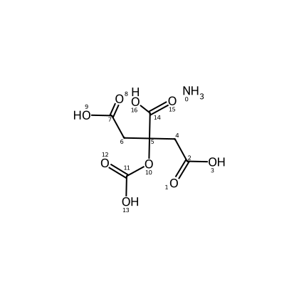 N.O=C(O)CC(CC(=O)O)(OC(=O)O)C(=O)O